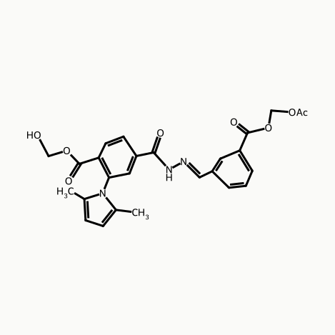 CC(=O)OCOC(=O)c1cccc(/C=N/NC(=O)c2ccc(C(=O)OCO)c(-n3c(C)ccc3C)c2)c1